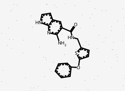 Nc1nc2[nH]ccc2cc1C(=O)NCc1ccc(Oc2ccccc2)s1